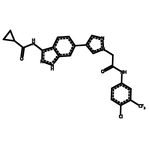 O=C(Cn1cc(-c2ccc3c(NC(=O)C4CC4)n[nH]c3c2)cn1)Nc1ccc(Cl)c(C(F)(F)F)c1